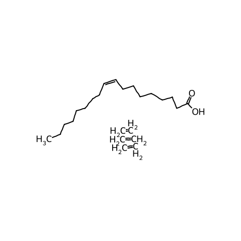 C=C.C=C.C=C.CCCCCCCC/C=C\CCCCCCCC(=O)O